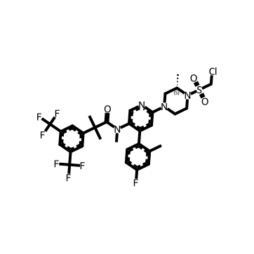 Cc1cc(F)ccc1-c1cc(N2CCN(S(=O)(=O)CCl)[C@@H](C)C2)ncc1N(C)C(=O)C(C)(C)c1cc(C(F)(F)F)cc(C(F)(F)F)c1